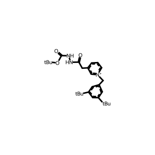 CC(C)(C)OC(=O)NNC(=O)Cc1ccc[n+](Cc2cc(C(C)(C)C)cc(C(C)(C)C)c2)c1